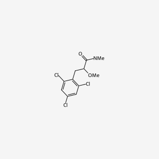 CNC(=O)C(Cc1c(Cl)cc(Cl)cc1Cl)OC